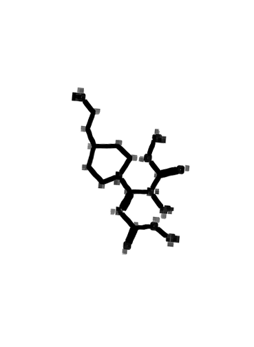 CCCN(C(=O)OC(C)(C)C)C(=NC(=O)OC(C)(C)C)N1CCC(CCO)CC1